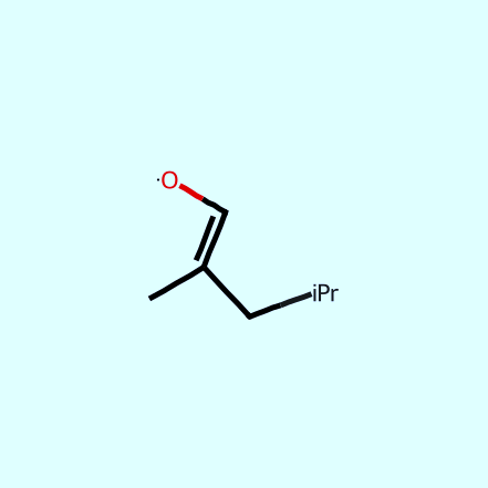 CC(=C[O])CC(C)C